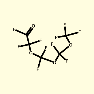 O=C(F)C(F)(F)OC(F)(F)OC(F)(F)OC(F)(F)F